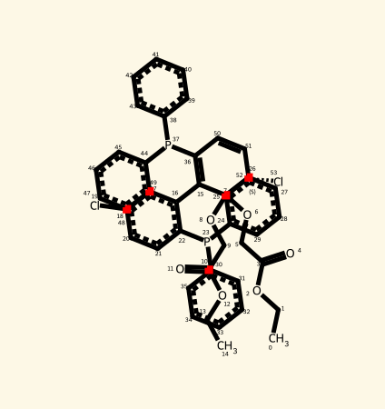 CCOC(=O)COC1(OCC(=O)OCC)C(c2cc(Cl)ccc2P(c2ccccc2)c2ccccc2)=C(P(c2ccccc2)c2ccccc2)C=C[C@@H]1Cl